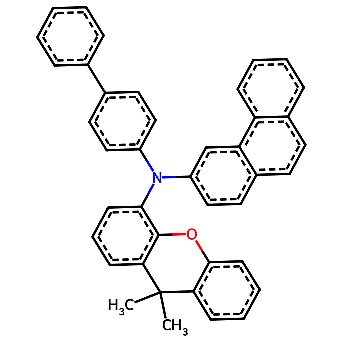 CC1(C)c2ccccc2Oc2c(N(c3ccc(-c4ccccc4)cc3)c3ccc4ccc5ccccc5c4c3)cccc21